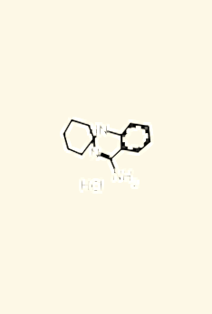 Cl.NC1=NC2(CCCCC2)Nc2ccccc21